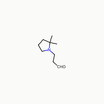 CC1(C)CCCN1CCC=O